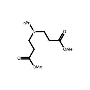 CCCN(CCC(=O)OC)CCC(=O)OC